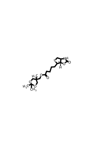 CC1(COC(=O)CCCCC2SCC3NC(=O)O[C@@H]32)COC(C)(C)OC1